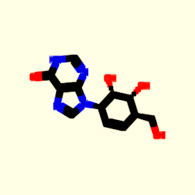 O=c1[nH]cnc2c1ncn2[C@@H]1C=C[C@H](CO)[C@@H](O)[C@H]1O